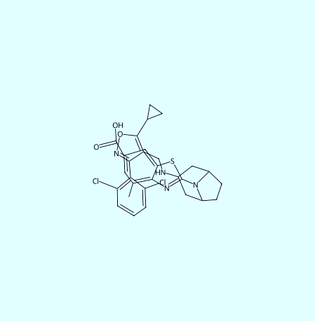 Cc1cc(C(=O)O)cc2sc(N3C4CCC3CC(NCc3c(-c5c(Cl)cccc5Cl)noc3C3CC3)C4)nc12